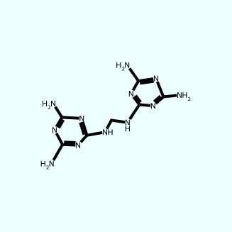 Nc1nc(N)nc(NCNc2nc(N)nc(N)n2)n1